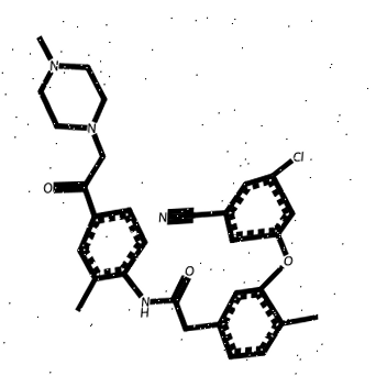 Cc1cc(C(=O)CN2CCN(C)CC2)ccc1NC(=O)Cc1ccc(C)c(Oc2cc(Cl)cc(C#N)c2)c1